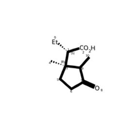 CC[C@H](C(=O)O)[C@]1(C)CCC(=O)C1C